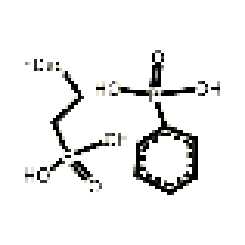 CCCCCCCCCCCCP(=O)(O)O.O=P(O)(O)c1ccccc1